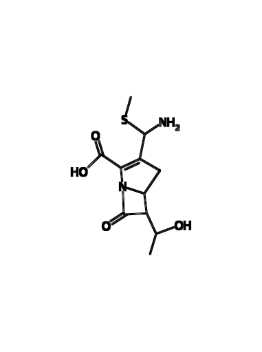 CSC(N)C1=C(C(=O)O)N2C(=O)C(C(C)O)C2C1